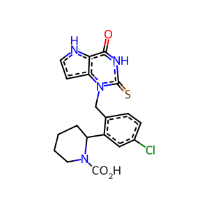 O=C(O)N1CCCCC1c1cc(Cl)ccc1Cn1c(=S)[nH]c(=O)c2[nH]ccc21